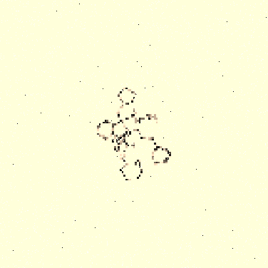 CS(=O)(=O)c1ccccc1[C@](CC1CCCC1)(C(=O)NN)[C@H](C/C=C/c1ccccc1)C(=O)NOC1CCCCO1